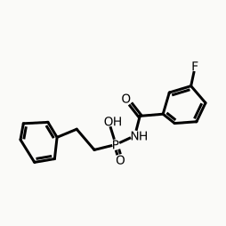 O=C(NP(=O)(O)CCc1ccccc1)c1cccc(F)c1